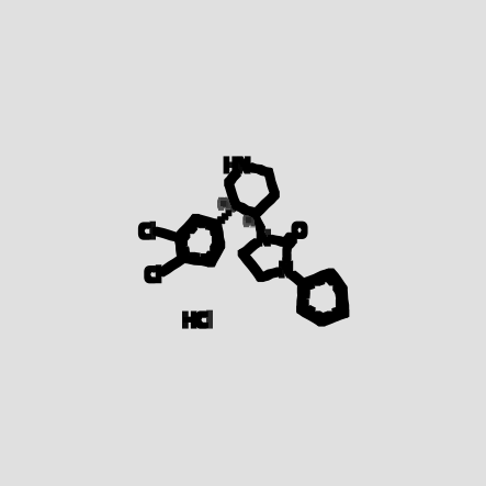 Cl.O=C1N(c2ccccc2)CCN1[C@@H]1CCNC[C@H]1c1ccc(Cl)c(Cl)c1